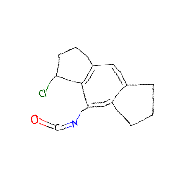 O=C=Nc1c2c(cc3c1C(Cl)CC3)CCC2